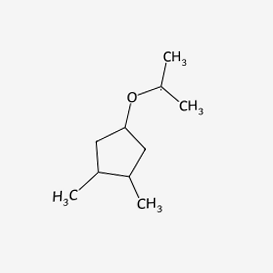 C[C](C)OC1CC(C)C(C)C1